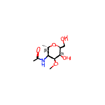 COC1C(NC(C)=O)[C@H](C)OC(CO)[C@H]1O